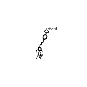 CCCCC[SiH]1CCC(C2CCC(CCCCc3cc(F)c(OCC(F)(F)C(F)F)c(F)c3)CC2)CC1